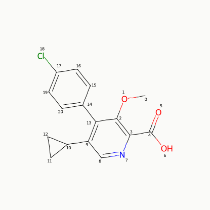 COc1c(C(=O)O)ncc(C2CC2)c1-c1ccc(Cl)cc1